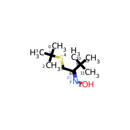 CC(C)(C)SC/C(=N/O)C(C)(C)C